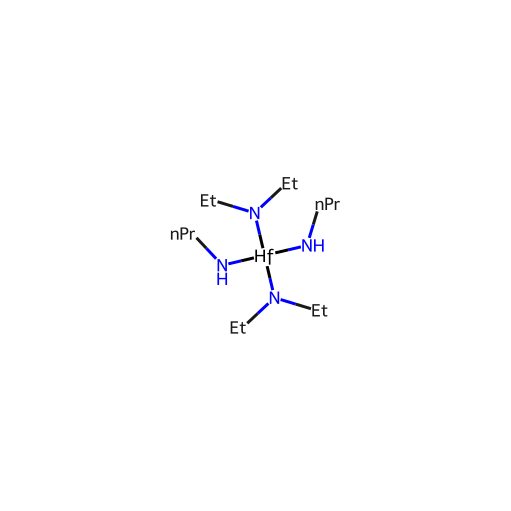 CCC[NH][Hf]([NH]CCC)([N](CC)CC)[N](CC)CC